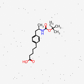 C[C@H](Cc1ccc(CCCCC(=O)O)cc1)NC(=O)OC(C)(C)C